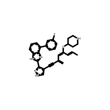 C=C(C#Cc1c[nH]nc1-c1nc2c(-c3cccc(F)c3)cccc2[nH]1)/C=C(\C=C\C)OC1CCNCC1